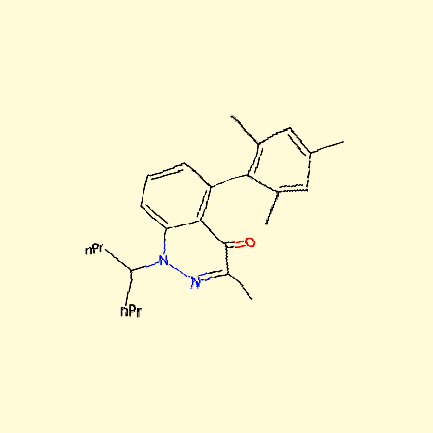 CCCC(CCC)n1nc(C)c(=O)c2c(-c3c(C)cc(C)cc3C)cccc21